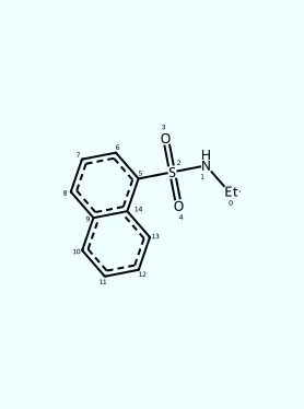 C[CH]NS(=O)(=O)c1cccc2ccccc12